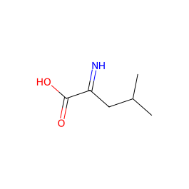 CC(C)CC(=N)C(=O)O